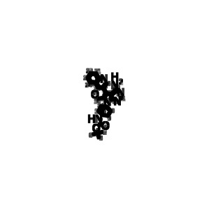 CC(C)(C)OC(=O)NC12CCC(n3c(C=O)c(-c4cnc5ccccc5c4)c4c(N)ncnc43)(CC1)C2